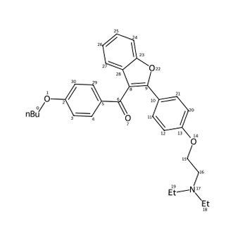 CCCCOc1ccc(C(=O)c2c(-c3ccc(OCCN(CC)CC)cc3)oc3ccccc23)cc1